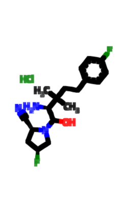 CC(C)(CCc1ccc(F)cc1)[C@H](N)C(O)N1C[C@@H](F)C[C@H]1C#N.Cl